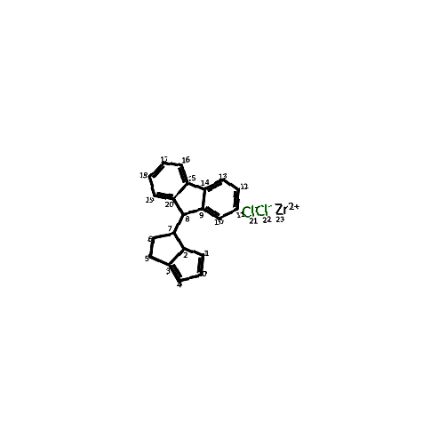 C1=CC2C(=C1)CCC2C1c2ccccc2-c2ccccc21.[Cl-].[Cl-].[Zr+2]